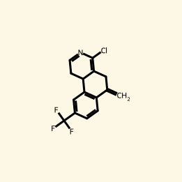 C=C1CC2=C(Cl)N=CCC2c2cc(C(F)(F)F)ccc21